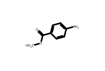 Nc1ccc(C(=O)OC(=O)O)cc1